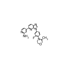 C[C@@H]1COCCN1c1ccc(-n2cnc3ccc(-c4ccnc(N)c4)nc32)cc1F